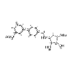 CCC(C)C1CC(NCc2ccc(-c3cncc(OC)c3)cc2)C(O)C1O